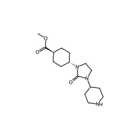 COC(=O)[C@H]1CC[C@H](N2CCN(C3CCNCC3)C2=O)CC1